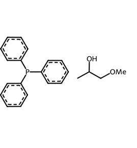 COCC(C)O.c1ccc(P(c2ccccc2)c2ccccc2)cc1